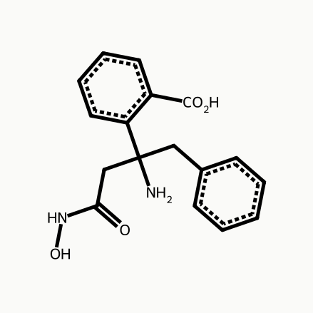 NC(CC(=O)NO)(Cc1ccccc1)c1ccccc1C(=O)O